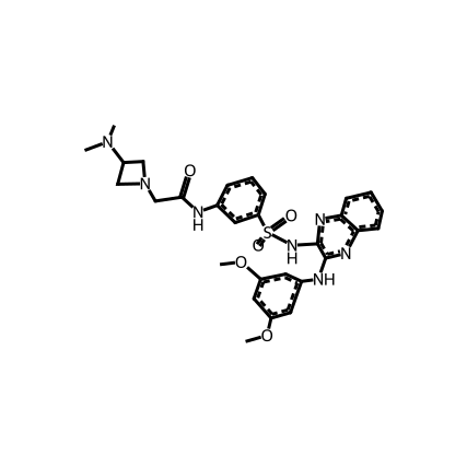 COc1cc(Nc2nc3ccccc3nc2NS(=O)(=O)c2cccc(NC(=O)CN3CC(N(C)C)C3)c2)cc(OC)c1